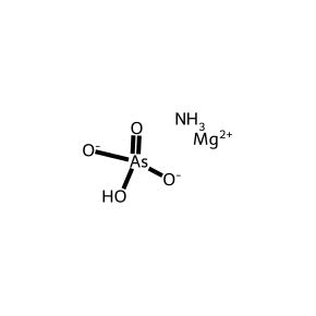 N.O=[As]([O-])([O-])O.[Mg+2]